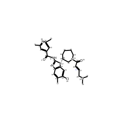 Cc1cc(C(=O)Nc2nc3cc(C)c(Cl)cc3n2[C@@H]2CCCCN(C(=O)/C=C/CN(C)C)C2)cc(C)n1